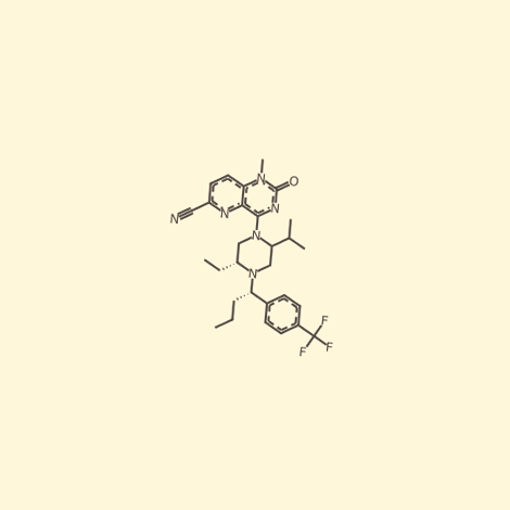 CCC[C@@H](c1ccc(C(F)(F)F)cc1)N1CC(C(C)C)N(c2nc(=O)n(C)c3ccc(C#N)nc23)C[C@H]1CC